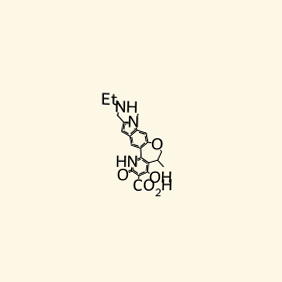 CCNCc1cc2cc3c(cc2n1C)OCC(C)c1c-3[nH]c(=O)c(C(=O)O)c1O